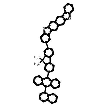 CC1(C)c2cc(-c3ccc4sc5cc6cc7c(cc6cc5c4c3)sc3ccccc37)ccc2-c2ccc(-c3c4ccccc4c(-c4cccc5ccccc45)c4ccccc34)cc21